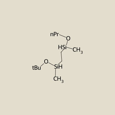 CCCO[SiH](C)CC[SiH](C)OC(C)(C)C